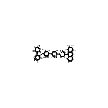 C1=C(c2c3ccccc3cc3ccccc23)CCC(c2ccc(-c3ccc(-n4c5ccccc5c5cnccc54)cc3)cn2)=N1